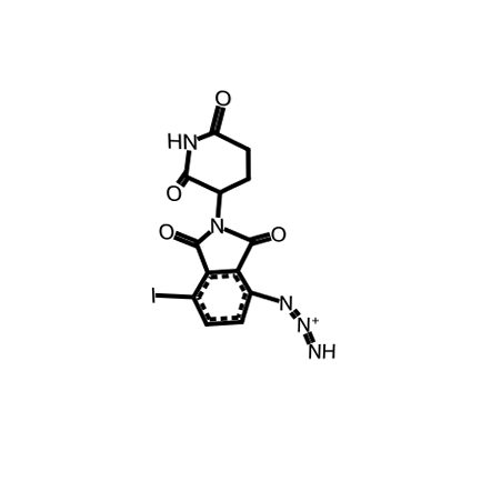 N=[N+]=Nc1ccc(I)c2c1C(=O)N(C1CCC(=O)NC1=O)C2=O